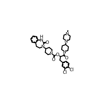 CN1CCN(C2CCN(C(=O)C(Cc3ccc(Cl)c(Cl)c3)OC(=O)N3CCC(N4CCc5ccccc5NC4=O)CC3)CC2)CC1